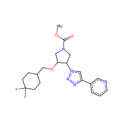 CC(C)(C)OC(=O)N1CC(OCC2CCC(F)(F)CC2)C(n2cc(-c3cccnc3)nn2)C1